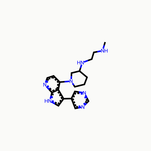 CNCCNC1CCCN(c2ccnc3[nH]cc(-c4cncnc4)c23)C1